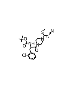 CSC(=NC#N)N1CCN(C(=O)C(Cc2ccccc2Cl)NC(=O)OC(C)(C)C)CC1